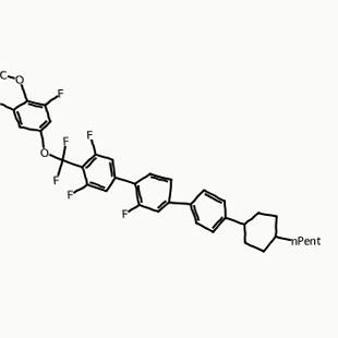 CCCCCC1CCC(c2ccc(-c3ccc(-c4cc(F)c(C(F)(F)Oc5cc(F)c(OC(F)(F)F)c(F)c5)c(F)c4)c(F)c3)cc2)CC1